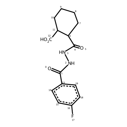 O=C(NNC(=O)C1CCCCC1C(=O)O)c1ccc(F)cc1